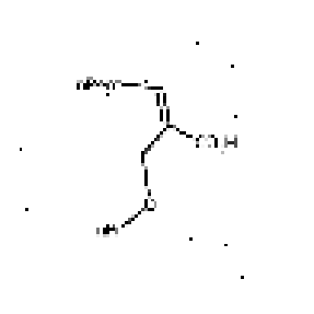 CCCCCC=C(COCCC)C(=O)O